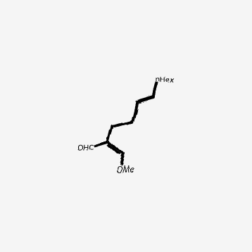 CCCCCCCCCCC(C=O)=COC